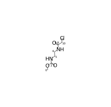 COC(=O)NCCNC(=O)CCl